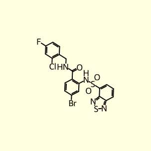 O=C(NCc1ccc(F)cc1Cl)c1ccc(Br)cc1NS(=O)(=O)c1cccc2nsnc12